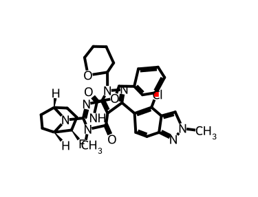 Cn1cc2c(Cl)c(-c3nn(C4CCCCO4)c4nc(N5[C@@H]6CC[C@H]5[C@H](F)[C@@H](NC(=O)OCc5ccccc5)C6)n(C)c(=O)c34)ccc2n1